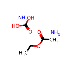 CCOC(C)=O.N.N.O=C(O)O